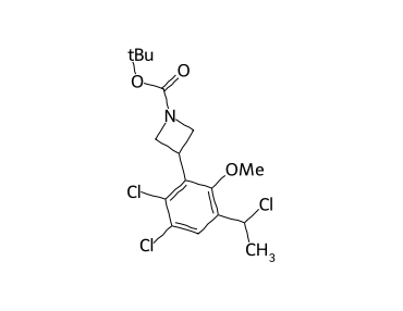 COc1c(C(C)Cl)cc(Cl)c(Cl)c1C1CN(C(=O)OC(C)(C)C)C1